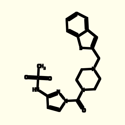 CS(=O)(=O)Nc1ccn(C(=O)N2CCN(Cc3cc4ccccc4s3)CC2)n1